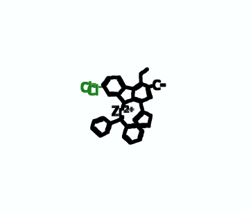 CCc1cc(C2=CC=CC2)c2c(c1CC)-c1ccccc1[CH]2[Zr+2]=[C](c1ccccc1)c1ccccc1.[Cl-].[Cl-]